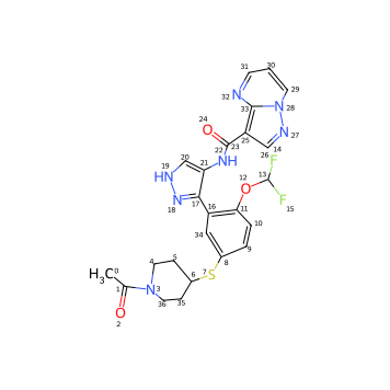 CC(=O)N1CCC(Sc2ccc(OC(F)F)c(-c3n[nH]cc3NC(=O)c3cnn4cccnc34)c2)CC1